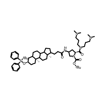 CN(C)CCCN(CCCN(C)C)C(=O)[C@@H]1CC(NC(=O)CCC2CCC3C4CCC5C[C@H](O[Si](c6ccccc6)(c6ccccc6)C(C)(C)C)CC[C@]5(C)C4CC[C@]23C)CN1C(=O)OC(C)(C)C